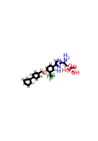 N[C@H](COP(=O)(O)O)c1ncc(-c2ccc(OCc3ccc(-c4ccccc4)cc3)c(C(F)(F)F)c2)[nH]1